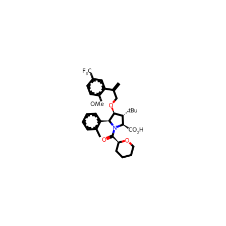 C=C(CO[C@H]1[C@H](C(C)(C)C)[C@@H](C(=O)O)N(C(=O)[C@@H]2CCCCO2)[C@H]1c1ccccc1C)c1cc(C(F)(F)F)ccc1OC